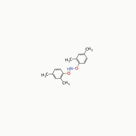 Cc1ccc(ONOc2ccc(C)cc2C)c(C)c1